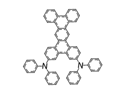 c1ccc(N(c2ccccc2)c2ccc3c(c2)c2cc(N(c4ccccc4)c4ccccc4)ccc2c2cc4c5ccccc5c5ccccc5c4cc32)cc1